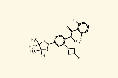 CN(C(=O)c1c(F)cccc1Cl)c1ccc(B2OC(C)(C)C(C)(C)O2)cc1N1CC(F)C1